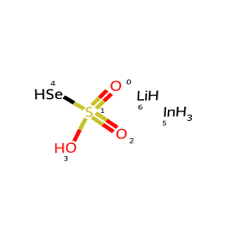 O=S(=O)(O)[SeH].[InH3].[LiH]